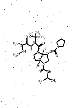 CN[C@@H](C)C(=O)N[C@H](C(=O)N1CC[C@@H]2[C@H]1[C@@H](OC(=O)N1CCCC1)CN2C(=O)NC(C)C)C(C)(C)C